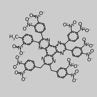 Cc1ccc(-c2nc3c4nc(Cc5ccc([N+](=O)[O-])c([N+](=O)[O-])c5)c(Cc5ccc([N+](=O)[O-])c([N+](=O)[O-])c5)nc4c4nc(-c5ccc([N+](=O)[O-])c([N+](=O)[O-])c5)c(-c5ccc([N+](=O)[O-])c([N+](=O)[O-])c5)nc4c3nc2-c2ccc([N+](=O)[O-])c([N+](=O)[O-])c2)cc1[N+](=O)[O-]